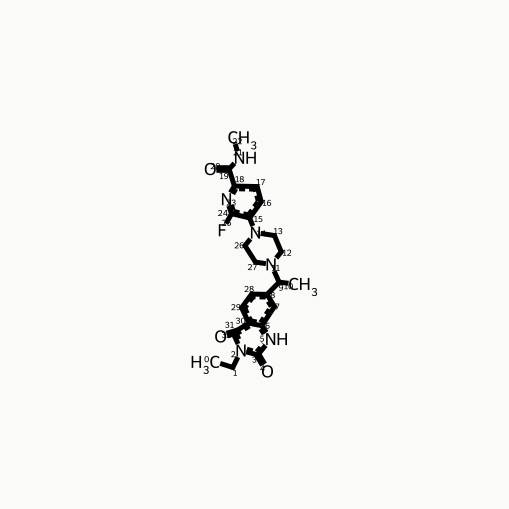 CCn1c(=O)[nH]c2cc(C(C)N3CCN(c4ccc(C(=O)NC)nc4F)CC3)ccc2c1=O